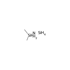 C[SiH](C)N.[SiH4]